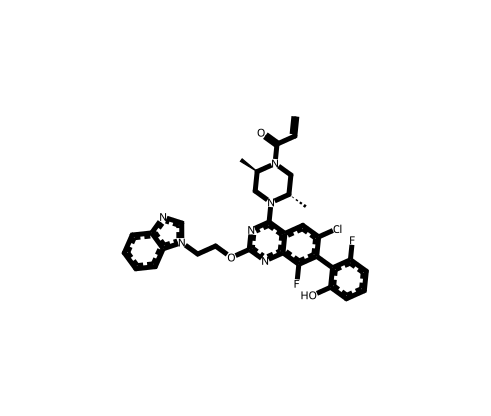 C=CC(=O)N1C[C@H](C)N(c2nc(OCCn3cnc4ccccc43)nc3c(F)c(-c4c(O)cccc4F)c(Cl)cc23)C[C@H]1C